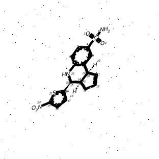 NS(=O)(=O)c1ccc2c(c1)[C@H]1C=CC[C@H]1[C@@H](c1ccc([N+](=O)[O-])s1)N2